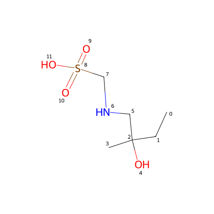 CCC(C)(O)CNCS(=O)(=O)O